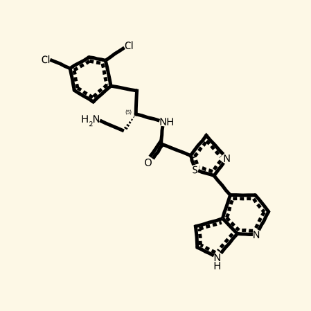 NC[C@H](Cc1ccc(Cl)cc1Cl)NC(=O)c1cnc(-c2ccnc3[nH]ccc23)s1